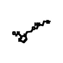 O=[N+]([O-])c1nccn1CCOCNCCBr